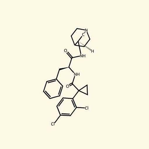 O=C(N[C@@H]1CN2CCC1CC2)[C@H](Cc1ccccc1)NC(=O)C1(c2ccc(Cl)cc2Cl)CC1